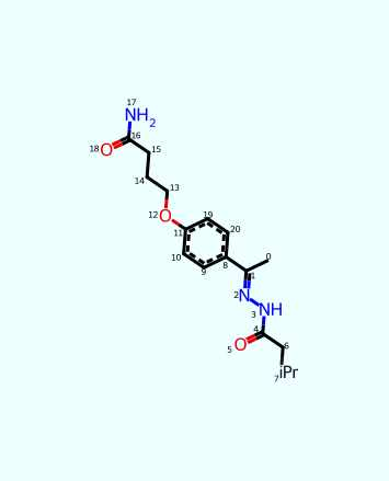 C/C(=N\NC(=O)CC(C)C)c1ccc(OCCCC(N)=O)cc1